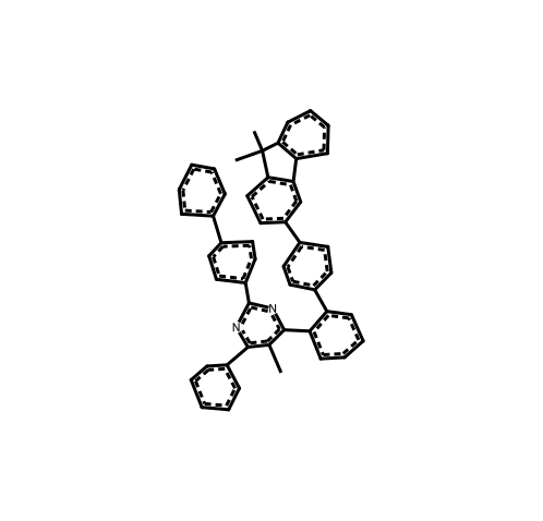 Cc1c(-c2ccccc2)nc(-c2ccc(-c3ccccc3)cc2)nc1-c1ccccc1-c1ccc(-c2ccc3c(c2)-c2ccccc2C3(C)C)cc1